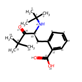 CC(C)(C)N[C@@H](Cc1ccccc1C(=O)O)C(=O)C(C)(C)C